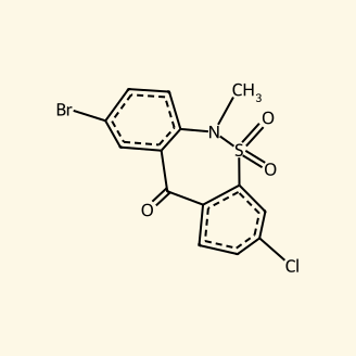 CN1c2ccc(Br)cc2C(=O)c2ccc(Cl)cc2S1(=O)=O